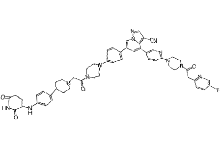 N#Cc1cnn2cc(-c3ccc(N4CCN(C(=O)CN5CCC(c6ccc(NC7CCC(=O)NC7=O)cc6)CC5)CC4)cc3)cc(-c3ccc(N4CCN(C(=O)Cc5ccc(F)cn5)CC4)nc3)c12